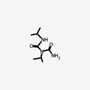 CC(C)NC(=O)N(C(N)=O)C(C)C